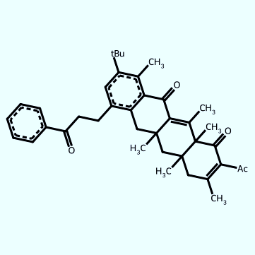 CC(=O)C1=C(C)CC2(C)CC3(C)Cc4c(CCC(=O)c5ccccc5)cc(C(C)(C)C)c(C)c4C(=O)C3=C(C)C2(C)C1=O